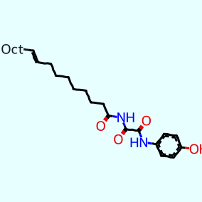 CCCCCCCCC=CCCCCCCCC(=O)NC(=O)C(=O)Nc1ccc(O)cc1